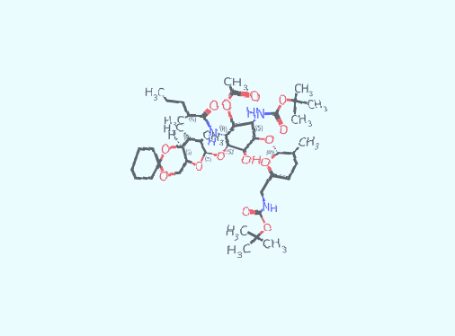 CCC[C@H](C)C(=O)N[C@@H]1C(OC(C)=O)[C@H](NC(=O)OC(C)(C)C)C(O[C@H]2OC(CNC(=O)OC(C)(C)C)CCC2C)C(O)[C@H]1O[C@H]1OC2COC3(CCCCC3)O[C@H]2[C@H](C)C1C